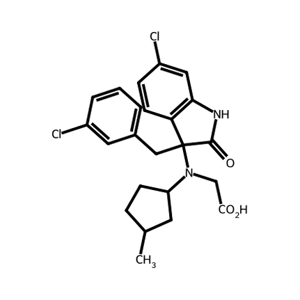 CC1CCC(N(CC(=O)O)C2(Cc3cccc(Cl)c3)C(=O)Nc3cc(Cl)ccc32)C1